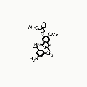 COCC1(COc2cc3c(N[C@H](C)c4cc(N)cc(C(F)(F)F)c4)nc(C)nc3cc2OC)COC1